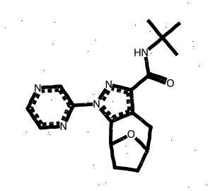 CC(C)(C)NC(=O)c1nn(-c2cnccn2)c2c1CC1CCC2O1